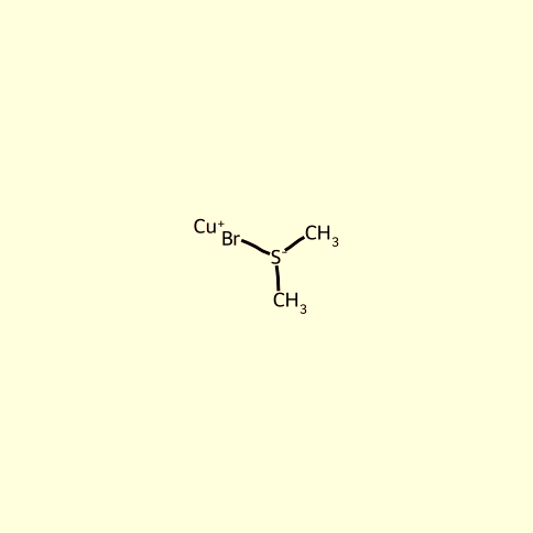 C[S-](C)Br.[Cu+]